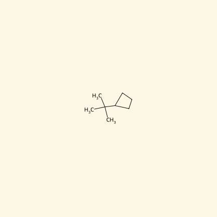 CC(C)(C)C1CCC1